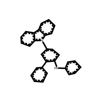 c1ccc(Nc2ccc(-n3c4ccccc4c4ccccc43)cc2-c2ccccc2)cc1